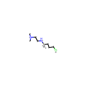 CN(C)CCN[SiH2]CCCCl